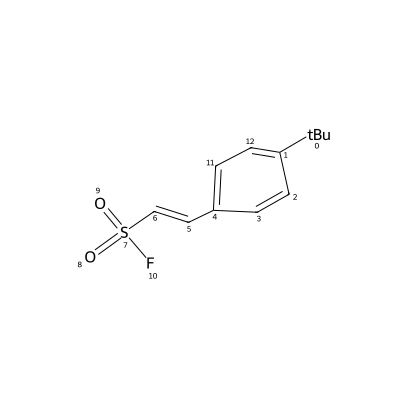 CC(C)(C)c1ccc(C=CS(=O)(=O)F)cc1